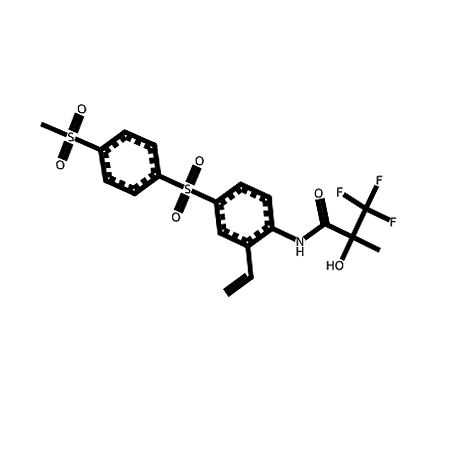 C=Cc1cc(S(=O)(=O)c2ccc(S(C)(=O)=O)cc2)ccc1NC(=O)C(C)(O)C(F)(F)F